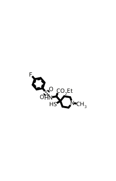 CCOC(=O)C(NS(=O)(=O)c1ccc(F)cc1)C1(S)CCN(C)CC1